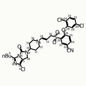 CCCCc1nc(Cl)c2n1C(=O)N(C1CCN(C=CCS(=O)(=O)c3cc(C#N)ccc3Oc3cc(Cl)ccc3Cl)CC1)C2